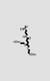 CCCCCCCCCCCCSCC(CCC(=O)NCCCN(CC)CC)SCCCCCCCCCCCC